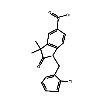 CC1(C)C(=O)N(Cc2ccccc2Cl)c2ccc([N+](=O)O)cc21